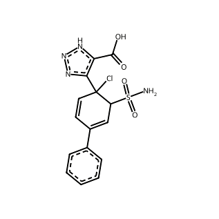 NS(=O)(=O)C1C=C(c2ccccc2)C=CC1(Cl)c1nn[nH]c1C(=O)O